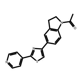 CC(=O)N1CCc2cc(-c3csc(-c4ccncc4)n3)ccc21